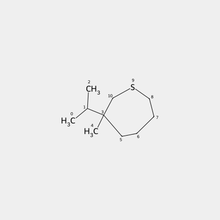 CC(C)C1(C)CCCCSC1